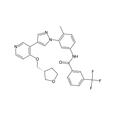 Cc1ccc(NC(=O)c2cccc(C(F)(F)F)c2)cc1-n1cc(-c2cnccc2OC[C@@H]2CCOC2)cn1